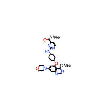 CNC(=O)c1ccnc(N[C@H]2CC[C@@H](Oc3cc(N4CCOCC4)cc4ncnc(OC)c34)CC2)n1